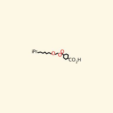 CC(C)CCCCCCCOCCOC(=O)C1CCC(C(=O)O)CC1